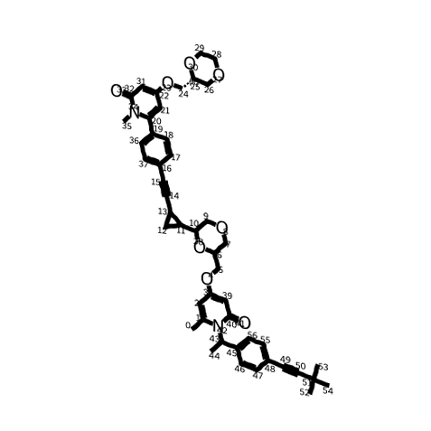 Cc1cc(OCC2COCC(C3CC3C#Cc3ccc(-c4cc(OC[C@H]5COCCO5)cc(=O)n4C)cc3)O2)cc(=O)n1C(C)c1ccc(C#CC(C)(C)C)cc1